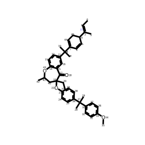 C/C=C(\C)C1C=CC(C(C)(C)c2ccc3c(c2)C(=O)C(CC)(Oc2ccc(C(C)(C)c4ccc(OC)cc4)cc2)CC(C)O3)=CC1